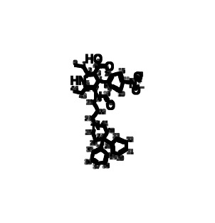 CCC1=C(C(=O)O)C(c2ccc([N+](=O)[O-])cc2)C(N(C=O)CCCN2CCC(c3ccccc3)(c3ccccc3)CC2)=C(CC)N1